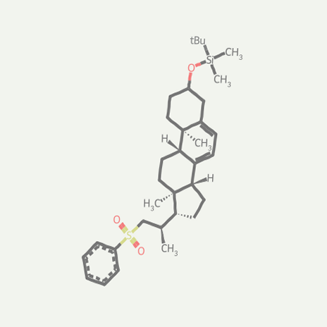 C[C@@H](CS(=O)(=O)c1ccccc1)[C@H]1CC[C@H]2C3=CC=C4CC(O[Si](C)(C)C(C)(C)C)CC[C@]4(C)[C@H]3CC[C@]12C